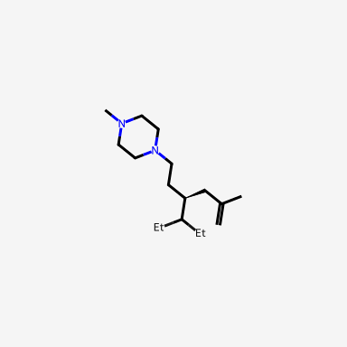 C=C(C)C[C@H](CCN1CCN(C)CC1)C(CC)CC